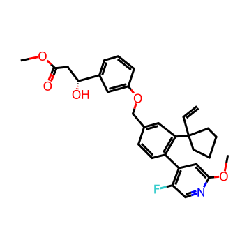 C=CC1(c2cc(COc3cccc([C@H](O)CC(=O)OC)c3)ccc2-c2cc(OC)ncc2F)CCCC1